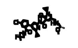 CO[C@@H](C)CNCc1cc(C(=O)Nc2cc(-c3ccc(Cl)cc3C(=O)N3CC(C)(F)C3)cc(C3CC3)n2)c(=O)n(C2CC2)c1